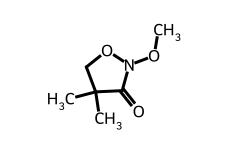 CON1OCC(C)(C)C1=O